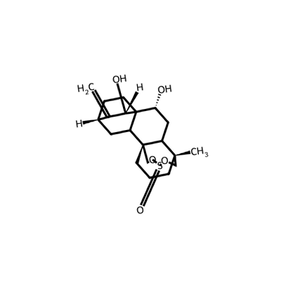 C=C1[C@H]2CCC3(C(C2)[C@@]24CCC[C@@](C)(COS(=O)OC2)C4C[C@H]3O)[C@H]1O